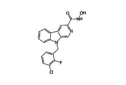 O=C(NO)c1cc2c3ccccc3n(Cc3cccc(Cl)c3F)c2cn1